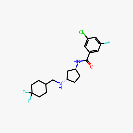 O=C(N[C@H]1CC[C@H](NCC2CCC(F)(F)CC2)C1)c1cc(F)cc(Cl)c1